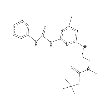 Cc1cc(NCCN(C)C(=O)OC(C)(C)C)nc(NC(=O)Nc2ccccc2)n1